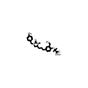 COC(=O)C(C)(C)Oc1ccc(CCCC2CN(Cc3ccc(C(C)(C)C)cc3)C(=O)N2C)cc1CC(C)C